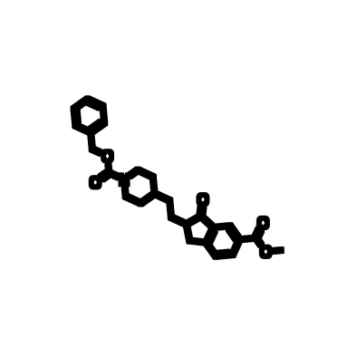 COC(=O)c1ccc2c(c1)C(=O)C(CCC1CCN(C(=O)OCc3ccccc3)CC1)C2